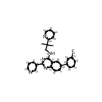 CC(C)(CNc1nc(-c2cccnc2)nc2ccc(-c3cccc(F)c3)cc12)c1ccccn1